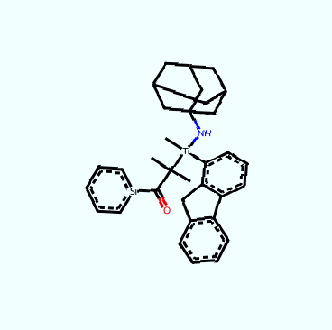 C[C](C)(C(=O)[si]1ccccc1)[Ti]([CH3])([NH]C12CC3CC(CC(C3)C1)C2)[c]1cccc2c1Cc1ccccc1-2